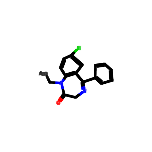 CC(=O)OCN1C(=O)CN=C(c2ccccc2)c2cc(Cl)ccc21